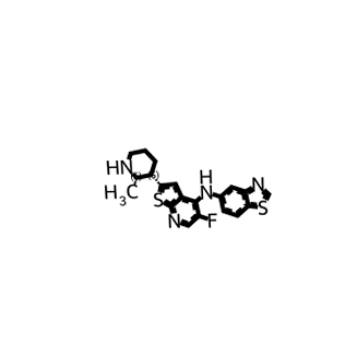 C[C@@H]1NCCC[C@@H]1c1cc2c(Nc3ccc4scnc4c3)c(F)cnc2s1